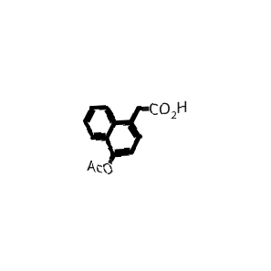 CC(=O)Oc1ccc(CC(=O)O)c2ccccc12